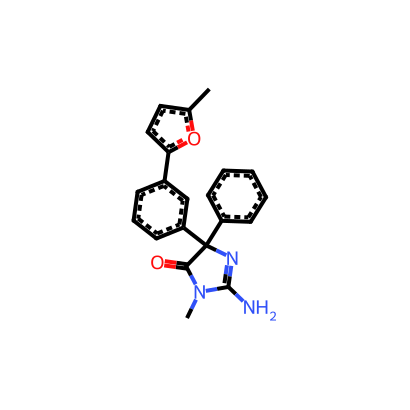 Cc1ccc(-c2cccc(C3(c4ccccc4)N=C(N)N(C)C3=O)c2)o1